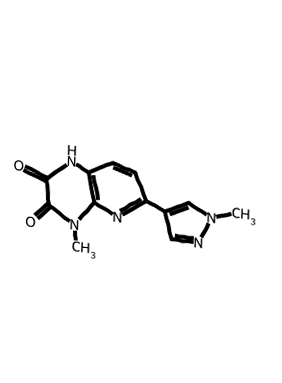 Cn1cc(-c2ccc3[nH]c(=O)c(=O)n(C)c3n2)cn1